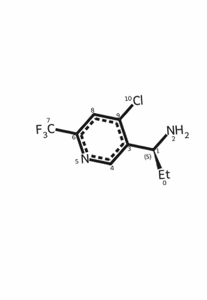 CC[C@H](N)c1cnc(C(F)(F)F)cc1Cl